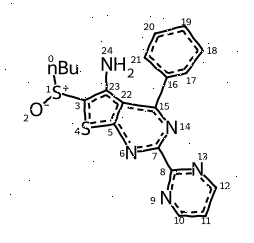 CCCC[S+]([O-])c1sc2nc(-c3ncccn3)nc(-c3ccccc3)c2c1N